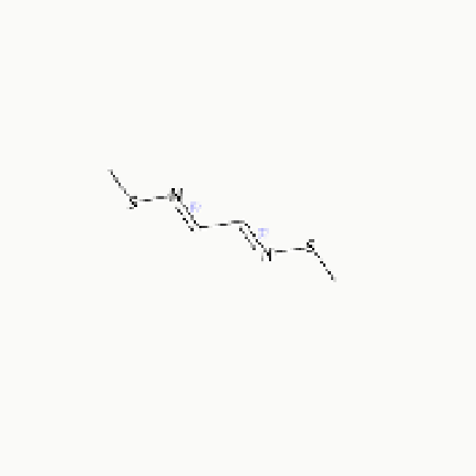 CS/N=C/C=N/SC